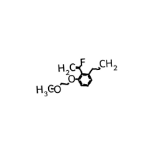 C=CCc1cccc(OCCOC)c1C(=C)F